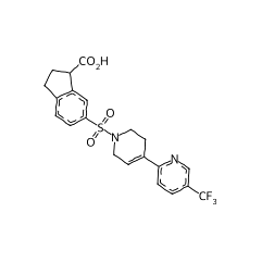 O=C(O)C1CCc2ccc(S(=O)(=O)N3CC=C(c4ccc(C(F)(F)F)cn4)CC3)cc21